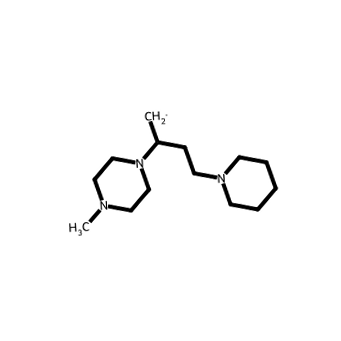 [CH2]C(CCN1CCCCC1)N1CCN(C)CC1